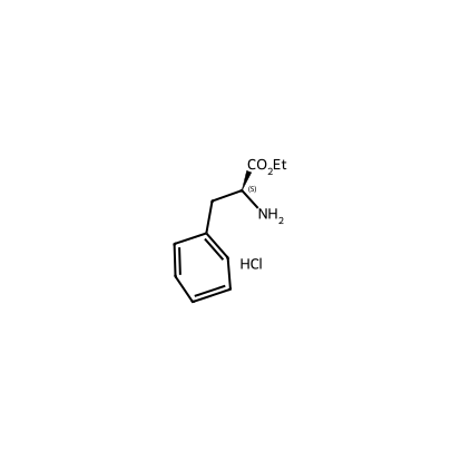 CCOC(=O)[C@@H](N)Cc1ccccc1.Cl